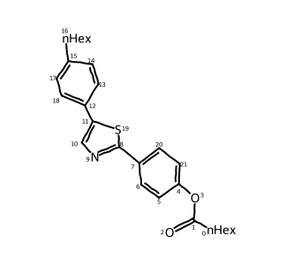 CCCCCCC(=O)Oc1ccc(-c2ncc(-c3ccc(CCCCCC)cc3)s2)cc1